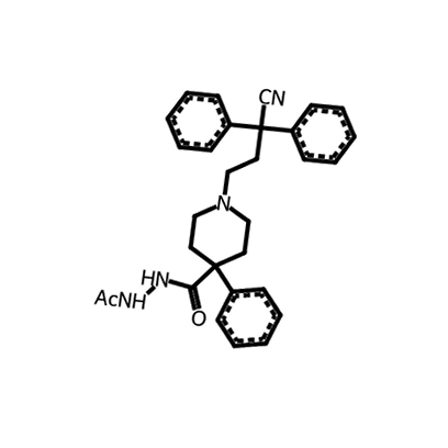 CC(=O)NNC(=O)C1(c2ccccc2)CCN(CCC(C#N)(c2ccccc2)c2ccccc2)CC1